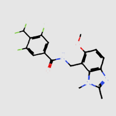 COc1ccc2nc(C)n(C)c2c1CNC(=O)c1cc(F)c(C(F)F)c(F)c1